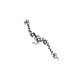 C=CC(=O)OCCCCCCOc1ccc(C(=O)Oc2ccc(OC(=O)c3ccc(OCCCCCCOC(=O)CC)cc3)cc2C)cc1